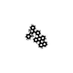 c1cc(-c2c3ccccc3c(-c3cccc4ccccc34)c3ccccc23)cc(-c2c3ccccc3nc3c2sc2ccccc23)c1